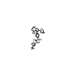 CC1(C)COC(C2CN3N=CN=C(N)C3=C2c2ccc(NC(=O)Nc3cc(C(C)(C)C)no3)cc2)=N1